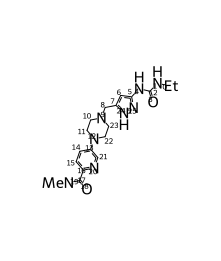 CCNC(=O)Nc1cc(CN2CCN(c3ccc(C(=O)NC)nc3)CC2)[nH]n1